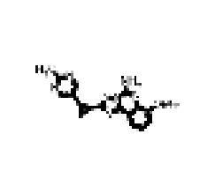 COc1cccc2c1nc(N)n1nc(C3CC3c3cnc(C)nc3)nc21